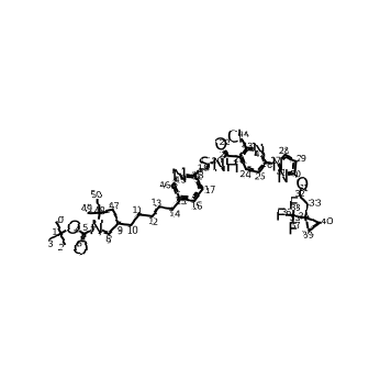 CC(C)(C)OC(=O)N1CC(CCCCCc2ccc(SNC(=O)c3ccc(-n4ccc(OCCC5(C(F)(F)F)CC5)n4)nc3Cl)nc2)CC1(C)C